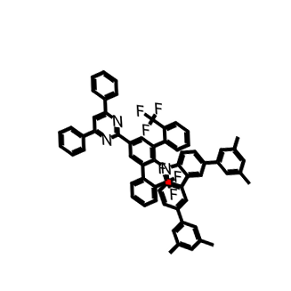 Cc1cc(C)cc(-c2ccc3c(c2)c2cc(-c4cc(C)cc(C)c4)ccc2n3-c2c(-c3ccccc3C(F)(F)F)cc(-c3nc(-c4ccccc4)cc(-c4ccccc4)n3)cc2-c2ccccc2C(F)(F)F)c1